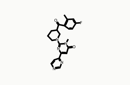 Cc1cc(F)ccc1C(=O)C1CCCN(c2nc(-c3ccncn3)cc(=O)n2C)C1